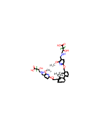 COc1nc(OCc2cccc(-c3cccc(COc4ccc(CNCC(O)C(F)(F)C(=O)O)c(OC)n4)c3C)c2C)ccc1CNCC(O)C(F)(F)C(=O)O